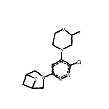 CC1CN(c2cc(N3CC4CC(C3)O4)nnc2Cl)CCO1